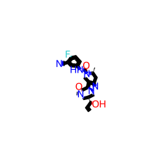 C=CC(O)[C@@H]1CN(C)C(=O)c2c3c(nn2C1)C[C@@H](C)N(C(=O)Nc1ccc(F)c(C#N)c1)C3